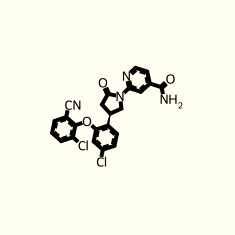 N#Cc1cccc(Cl)c1Oc1cc(Cl)ccc1[C@H]1CC(=O)N(c2cc(C(N)=O)ccn2)C1